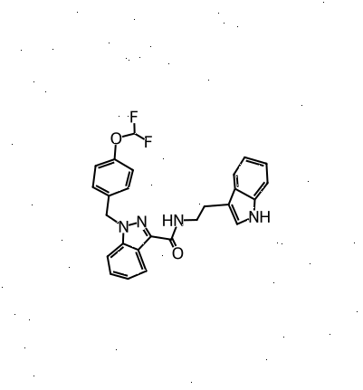 O=C(NCCc1c[nH]c2ccccc12)c1nn(Cc2ccc(OC(F)F)cc2)c2ccccc12